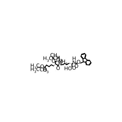 CC(C)(C)OC(=O)CCCC[C@H](C(=O)OC(C)(C)C)C(=O)N(N)CCCC[C@H](NC(=O)OCC1c2ccccc2-c2ccccc21)C(=O)O